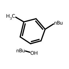 CCCCO.CCCCc1cccc(C)c1